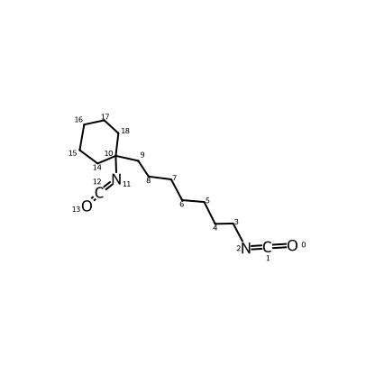 O=C=NCCCCCCCC1(N=C=O)CCCCC1